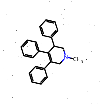 CN1CC(c2ccccc2)=C(c2ccccc2)C(c2ccccc2)C1